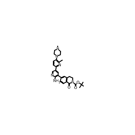 Cc1nc(-c2cnc(N)c(-c3ccc4c(c3)CCN(C(=O)OC(C)(C)C)C4=O)c2)ccc1N1CCN(C)CC1